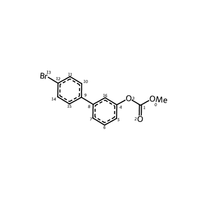 COC(=O)Oc1cccc(-c2ccc(Br)cc2)c1